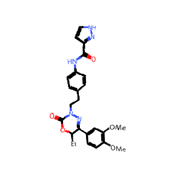 CCC1OC(=O)N(CCc2ccc(NC(=O)c3cc[nH]n3)cc2)N=C1c1ccc(OC)c(OC)c1